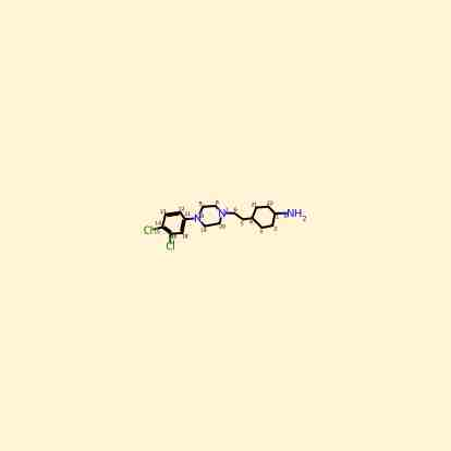 NC1CCC(CCN2CCN(c3ccc(Cl)c(Cl)c3)CC2)CC1